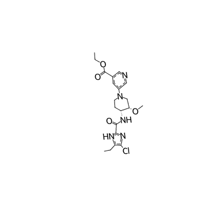 CCOC(=O)c1cncc(N2CC[C@@H](NC(=O)c3nc(Cl)c(CC)[nH]3)[C@@H](OC)C2)c1